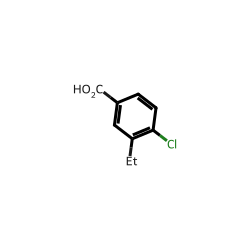 CCc1cc(C(=O)O)ccc1Cl